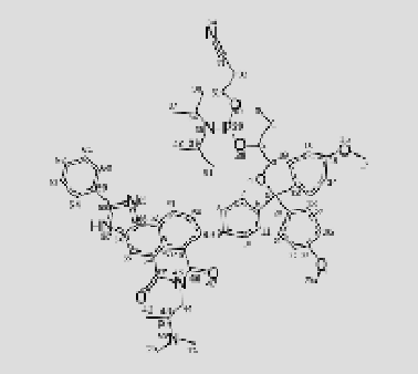 CCC(COC(c1ccccc1)(c1ccc(OC)cc1)c1ccc(OC)cc1)OP(OCCC#N)N(C(C)C)C(C)C.C[C@@H](CN1C(=O)c2cccc3c2c(cc2[nH]c(-c4ccccc4)nc23)C1=O)N(C)C